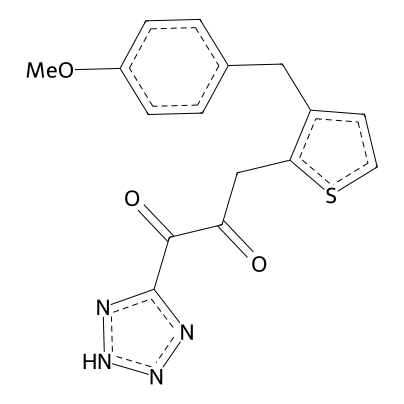 COc1ccc(Cc2ccsc2CC(=O)C(=O)c2nn[nH]n2)cc1